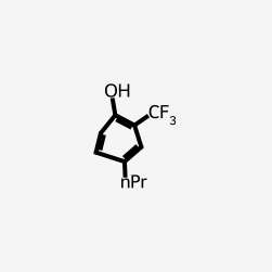 CCCc1ccc(O)c(C(F)(F)F)c1